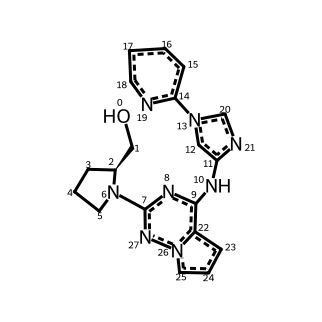 OC[C@@H]1CCCN1c1nc(Nc2cn(-c3ccccn3)cn2)c2cccn2n1